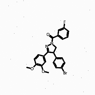 COc1ccc(C2=NN(C(=O)c3cccc(F)c3)CC2c2ccc(Br)cc2)cc1OC